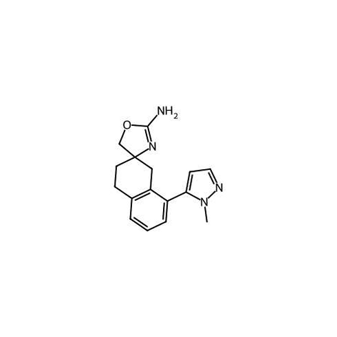 Cn1nccc1-c1cccc2c1CC1(CC2)COC(N)=N1